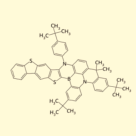 CC(C)(C)c1ccc(N2c3ccc4c5c3B(c3cc(C(C)(C)C)ccc3N5c3ccc(C(C)(C)C)cc3C4(C)C)c3sc4cc5c(cc4c32)sc2ccccc25)cc1